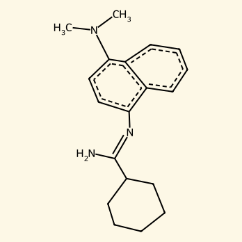 CN(C)c1ccc(N=C(N)C2CCCCC2)c2ccccc12